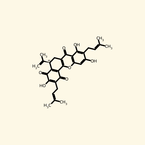 C=C(C)[C@H]1Cc2c(oc3cc(O)c(CC=C(C)C)c(O)c3c2=O)C2=C1C(=O)C(O)=C(CC=C(C)C)C2=O